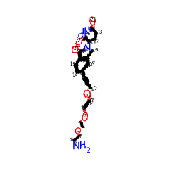 NCCOCCOCCOCC#Cc1ccc2c(c1)CN(C1CCC(=O)NC1=O)C2=O